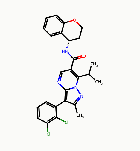 Cc1nn2c(C(C)C)c(C(=O)N[C@H]3CCOc4ccccc43)cnc2c1-c1cccc(Cl)c1Cl